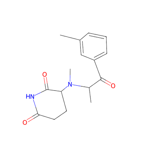 Cc1cccc(C(=O)C(C)N(C)C2CCC(=O)NC2=O)c1